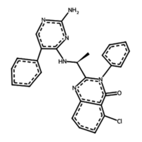 C[C@H](Nc1nc(N)ncc1-c1ccccc1)c1nc2cccc(Cl)c2c(=O)n1-c1ccccc1